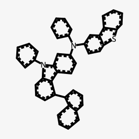 c1ccc(N(c2ccc3sc4ccccc4c3c2)c2ccc3c4c(-c5cccc6ccccc56)cccc4n(-c4ccccc4)c3c2)cc1